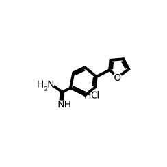 Cl.N=C(N)c1ccc(-c2ccco2)cc1